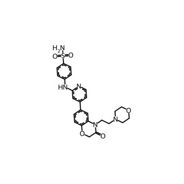 NS(=O)(=O)c1ccc(Nc2cc(-c3ccc4c(c3)N(CCN3CCOCC3)C(=O)CO4)ccn2)cc1